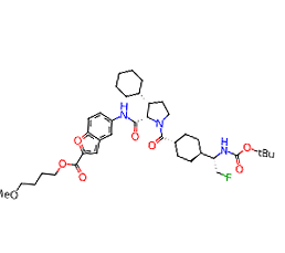 COCCCCOC(=O)c1cc2cc(NC(=O)[C@@H]3[C@H](C4CCCCC4)CCN3C(=O)[C@H]3CC[C@H]([C@@H](CF)NC(=O)OC(C)(C)C)CC3)ccc2o1